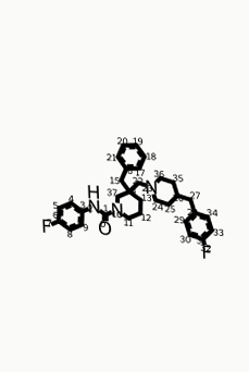 O=C(Nc1ccc(F)cc1)N1CCCC(Cc2ccccc2)(CN2CCC(Cc3ccc(F)cc3)CC2)C1